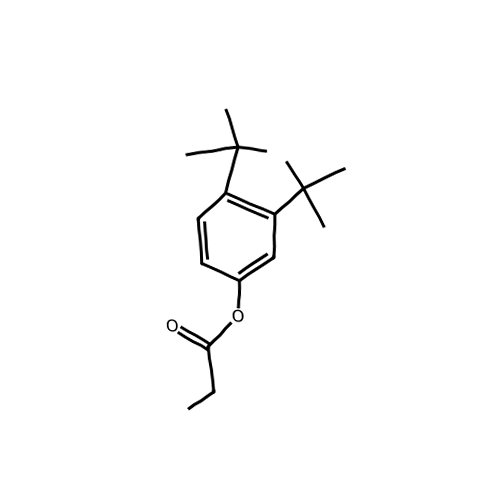 CCC(=O)Oc1ccc(C(C)(C)C)c(C(C)(C)C)c1